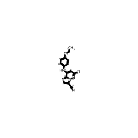 CCOc1ccc(Nc2cc(Cl)nn3c(C#N)cnc23)cc1